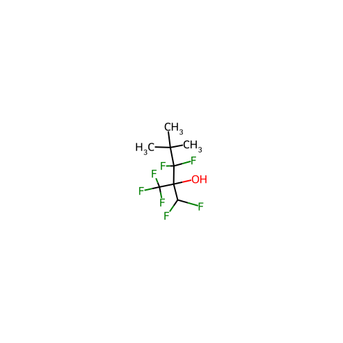 CC(C)(C)C(F)(F)C(O)(C(F)F)C(F)(F)F